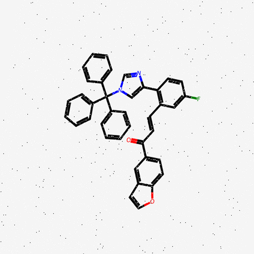 O=C(C=Cc1cc(F)ccc1-c1cn(C(c2ccccc2)(c2ccccc2)c2ccccc2)cn1)c1ccc2occc2c1